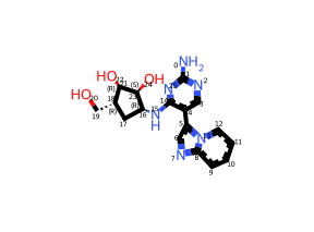 Nc1ncc(-c2cnc3ccccn23)c(N[C@@H]2C[C@H](CO)[C@@H](O)[C@H]2O)n1